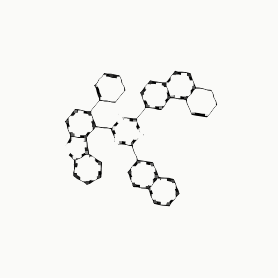 C1=CCCC(c2ccc3oc4ccccc4c3c2-c2nc(-c3ccc4ccccc4c3)nc(-c3ccc4ccc5c(c4c3)C=CCC5)n2)=C1